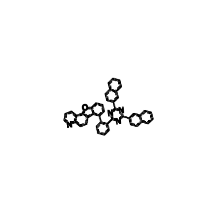 c1ccc(-c2cccc3oc4c5cccnc5ccc4c23)c(-c2nc(-c3ccc4ccccc4c3)nc(-c3ccc4ccccc4c3)n2)c1